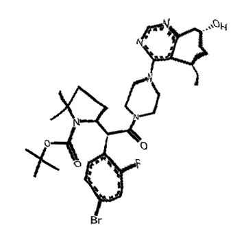 C[C@@H]1C[C@@H](O)c2ncnc(N3CCN(C(=O)[C@@H](c4ccc(Br)cc4F)C4CCC(C)(C)N4C(=O)OC(C)(C)C)CC3)c21